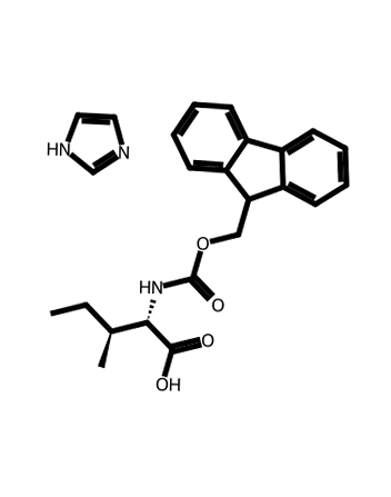 CC[C@H](C)[C@H](NC(=O)OCC1c2ccccc2-c2ccccc21)C(=O)O.c1c[nH]cn1